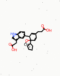 COC1(C2CCCC2)C=CC(CCC(=O)O)=CC1c1ccc2[nH]cc(CC(=O)O)c2c1